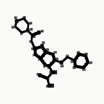 O=C(O)Nc1cc2cn(CC(=O)N3CCOCC3)nc2cc1OCc1ccccc1